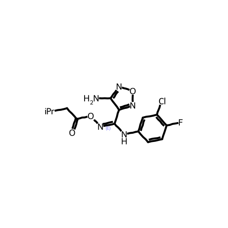 CC(C)CC(=O)O/N=C(/Nc1ccc(F)c(Cl)c1)c1nonc1N